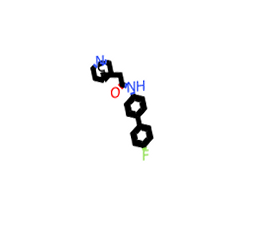 O=C(CC1CN2CCC1CC2)Nc1ccc(-c2ccc(F)cc2)cc1